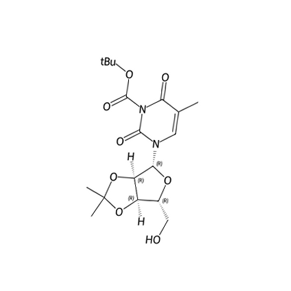 Cc1cn([C@@H]2O[C@H](CO)[C@H]3OC(C)(C)O[C@H]32)c(=O)n(C(=O)OC(C)(C)C)c1=O